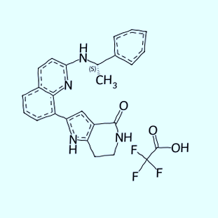 C[C@H](Nc1ccc2cccc(-c3cc4c([nH]3)CCNC4=O)c2n1)c1ccccc1.O=C(O)C(F)(F)F